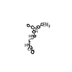 C/C=C\C(=C/C)c1ccc(NC2C=CC(c3ccccc3)=CC2c2ccc(-c3ccc(CC=C=CCNC(/C=C\Cc4ccccc4)=C/C)[nH]3)cc2)cc1